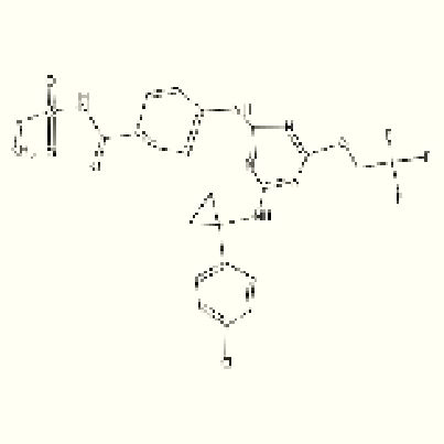 C=CS(=O)(=O)NC(=O)c1ccc(Nc2nc(NC3(c4ccc(Cl)cc4)CC3)nc(OCC(F)(F)F)n2)cc1